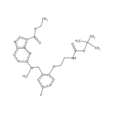 CCOC(=O)c1cnc2ccc(N(C)Cc3cc(F)ccc3OCCNC(=O)OC(C)(C)C)nn12